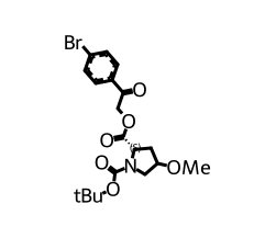 COC1C[C@@H](C(=O)OCC(=O)c2ccc(Br)cc2)N(C(=O)OC(C)(C)C)C1